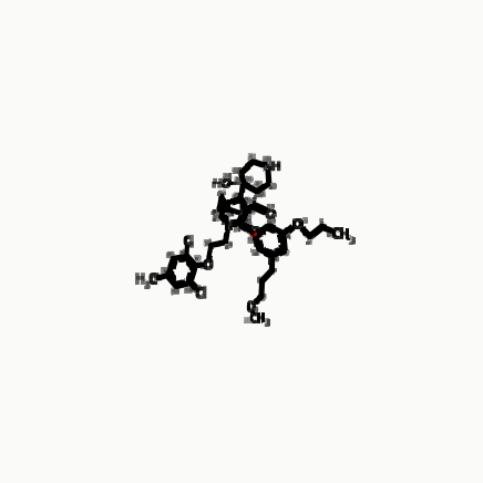 CCCOc1cc(CCCOC)cc(CN(C(=O)[C@H]2CNCC[C@]2(O)c2ccn(CCOc3c(Cl)cc(C)cc3Cl)c(=O)c2)C2CC2)c1